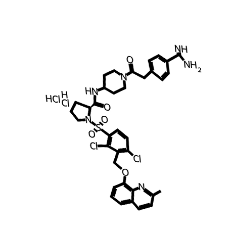 Cc1ccc2cccc(OCc3c(Cl)ccc(S(=O)(=O)N4CCC[C@H]4C(=O)NC4CCN(C(=O)Cc5ccc(C(=N)N)cc5)CC4)c3Cl)c2n1.Cl.Cl